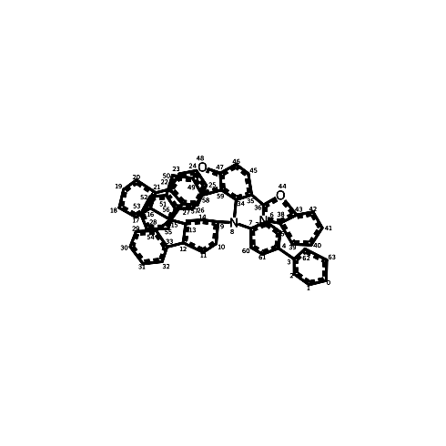 c1ccc(-c2ccc(N(c3ccc4c(c3)C3(c5ccccc5-c5ccccc53)c3ccccc3-4)c3c(-c4nc5ccccc5o4)ccc4oc5cc6ccccc6cc5c34)cc2)cc1